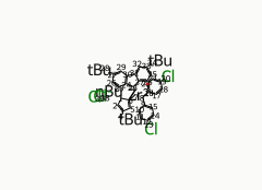 CCCCC1C=C(C(C)(C)C)C=[C]1[Zr+2](=[C](c1ccc(Cl)cc1)c1ccc(Cl)cc1)[CH]1c2ccc(C(C)(C)C)cc2-c2cc(C(C)(C)C)ccc21.[Cl-].[Cl-]